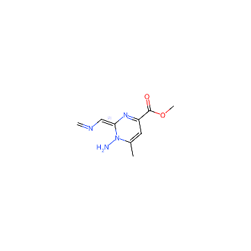 C=N/C=C1/N=C(C(=O)OC)C=C(C)N1N